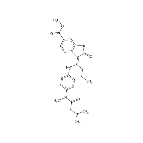 CCCC(Nc1ccc(N(C)C(=O)CN(C)C)cc1)=C1C(=O)Nc2cc(C(=O)OC)ccc21